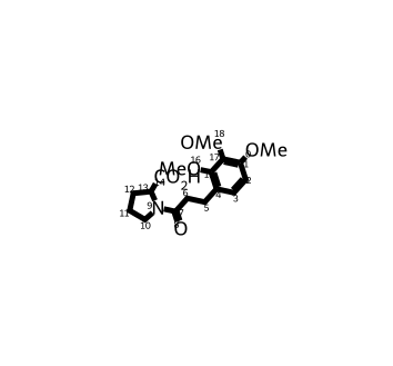 COc1ccc(CCC(=O)N2CCCC2C(=O)O)c(OC)c1OC